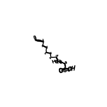 CCCCCCCCNCC(=O)O